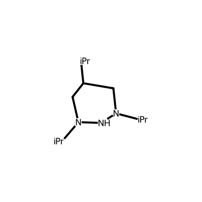 CC(C)C1CN(C(C)C)NN(C(C)C)C1